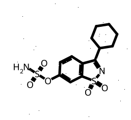 NS(=O)(=O)Oc1ccc2c(c1)S(=O)(=O)N=C2C1CCCCC1